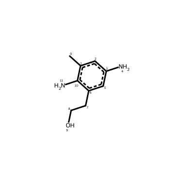 Cc1cc(N)cc(CCO)c1N